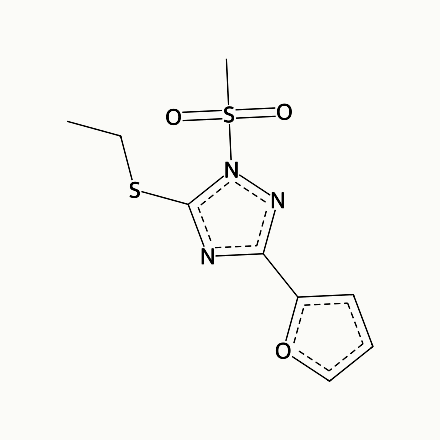 CCSc1nc(-c2ccco2)nn1S(C)(=O)=O